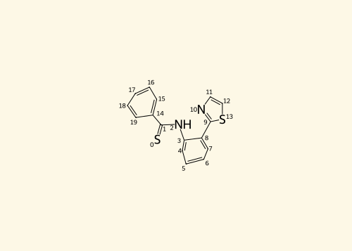 S=C(Nc1ccccc1-c1nccs1)c1ccccc1